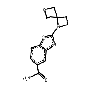 NC(=O)c1ccc2oc(N3CCC34COC4)nc2c1